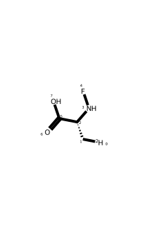 [2H]C[C@@H](NF)C(=O)O